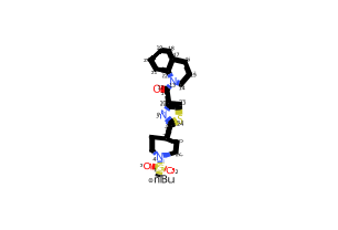 CCCCS(=O)(=O)N1CCC(c2nc(C(=O)N3CCCC4CCCCC43)cs2)CC1